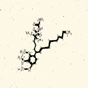 CCCCCCCCCC(CCCC(C)(C)S(=O)(=O)NC(N)=O)c1ccc(OC)c(OC)c1OC